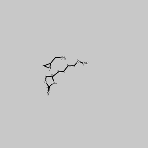 NCC1CO1.O=COCCCCC1COC(=O)O1